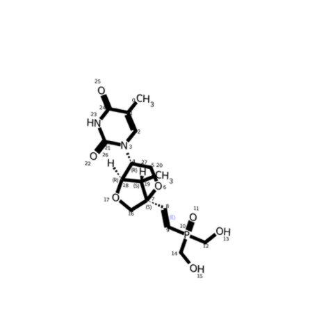 Cc1cn([C@@H]2CO[C@@]3(/C=C/P(=O)(CO)CO)CO[C@@H]2[C@@H]3C)c(=O)[nH]c1=O